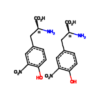 N[C@@H](Cc1ccc(O)c([N+](=O)[O-])c1)C(=O)O.N[C@@H](Cc1ccc(O)c([N+](=O)[O-])c1)C(=O)O